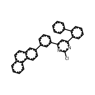 Clc1nc(-c2cccc(-c3ccc4c(ccc5ccccc54)c3)c2)cc(-c2ccccc2-c2ccccc2)n1